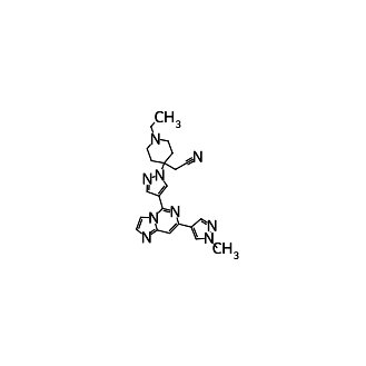 CCN1CCC(CC#N)(n2cc(-c3nc(-c4cnn(C)c4)cc4nccn34)cn2)CC1